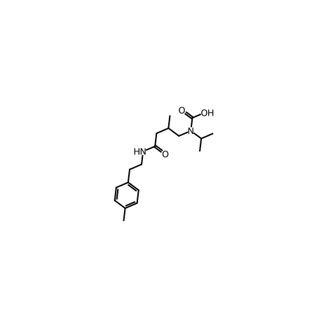 Cc1ccc(CCNC(=O)CC(C)CN(C(=O)O)C(C)C)cc1